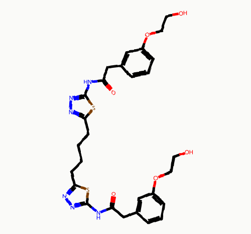 O=C(Cc1cccc(OCCO)c1)Nc1nnc(CCCCc2nnc(NC(=O)Cc3cccc(OCCO)c3)s2)s1